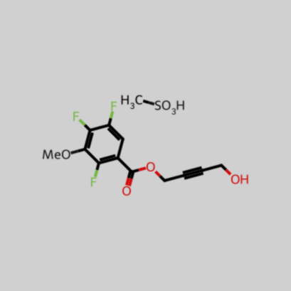 COc1c(F)c(F)cc(C(=O)OCC#CCO)c1F.CS(=O)(=O)O